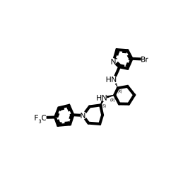 FC(F)(F)c1ccc(N2CCC[C@H](N[C@@H]3CCCC[C@H]3Nc3cc(Br)ccn3)C2)cc1